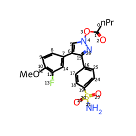 CCCC(=O)On1cc(-c2ccc(OC)c(F)c2)c(-c2ccc(S(N)(=O)=O)cc2)n1